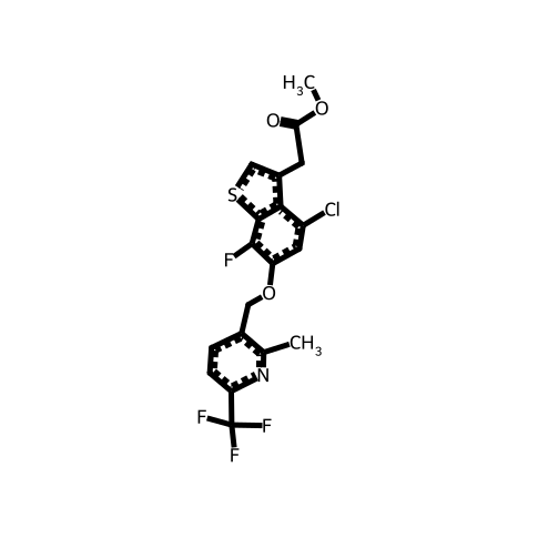 COC(=O)Cc1csc2c(F)c(OCc3ccc(C(F)(F)F)nc3C)cc(Cl)c12